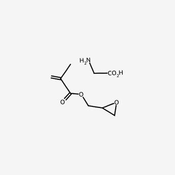 C=C(C)C(=O)OCC1CO1.NCC(=O)O